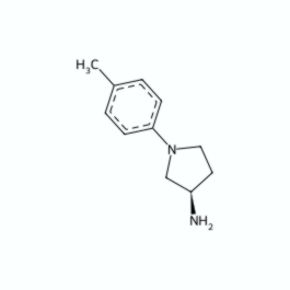 Cc1ccc(N2CC[C@@H](N)C2)cc1